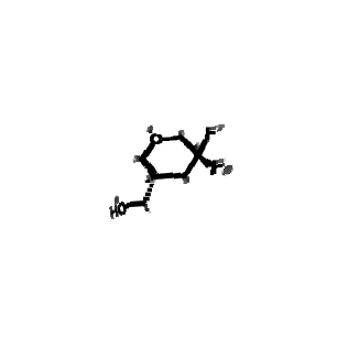 OC[C@@H]1COCC(F)(F)C1